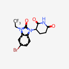 O=C1CCC(n2c(=O)n(CC(F)(F)F)c3cc(Br)ccc32)C(=O)N1